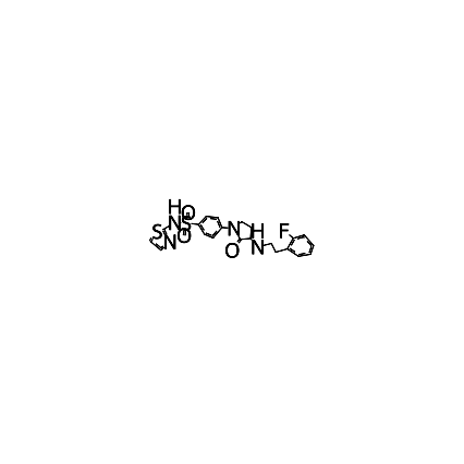 O=C1C(NCCc2ccccc2F)CCN1c1ccc(S(=O)(=O)Nc2nccs2)cc1